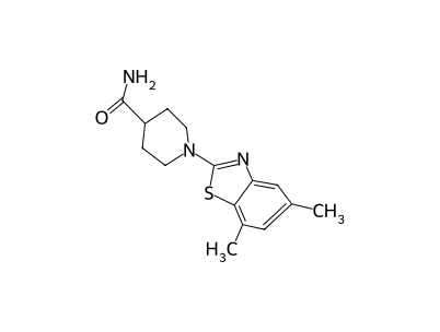 Cc1cc(C)c2sc(N3CCC(C(N)=O)CC3)nc2c1